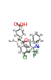 CCC[C@H](c1ccc(C(=O)O)cc1)[C@@H](Oc1cc(C(F)(F)F)nc2ccccc12)c1ccc(Cl)cc1